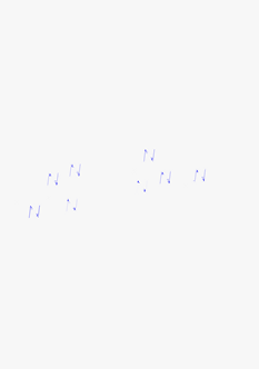 Cc1cnc(C)n2nc(/C=C/c3nc(N4CCCC4C)nn3C)nc12